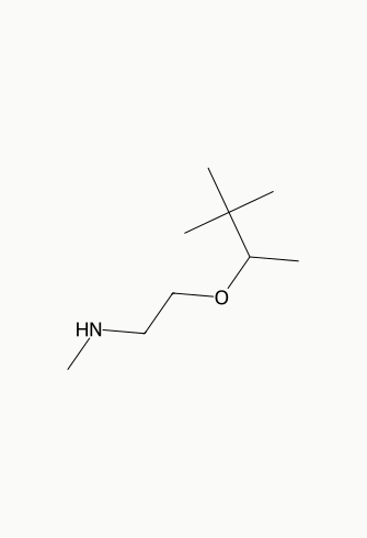 CNCCOC(C)C(C)(C)C